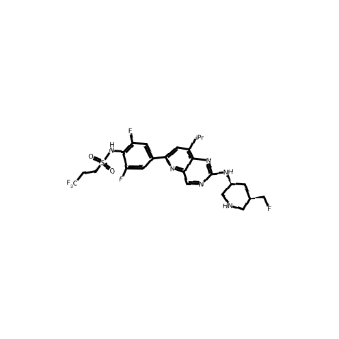 CC(C)c1cc(-c2cc(F)c(NS(=O)(=O)CCC(F)(F)F)c(F)c2)nc2cnc(N[C@@H]3CNC[C@H](CF)C3)nc12